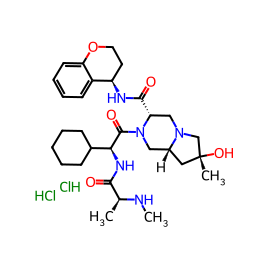 CN[C@@H](C)C(=O)N[C@H](C(=O)N1C[C@H]2C[C@@](C)(O)CN2C[C@H]1C(=O)N[C@@H]1CCOc2ccccc21)C1CCCCC1.Cl.Cl